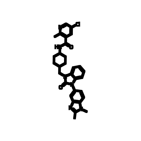 Cc1ncc(Cl)cc1C(=O)NC1CCC(Cn2c(=O)n(-c3ccc4c(c3)nc(C)n4C)c3ccccc32)CC1